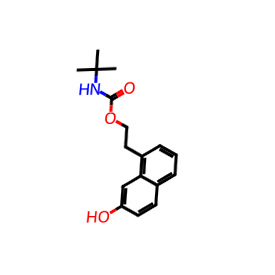 CC(C)(C)NC(=O)OCCc1cccc2ccc(O)cc12